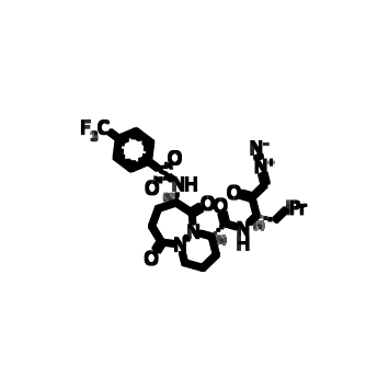 CC(C)C[C@H](NC(=O)[C@@H]1CCCN2C(=O)CC[C@H](NS(=O)(=O)c3ccc(C(F)(F)F)cc3)C(=O)N12)C(=O)C=[N+]=[N-]